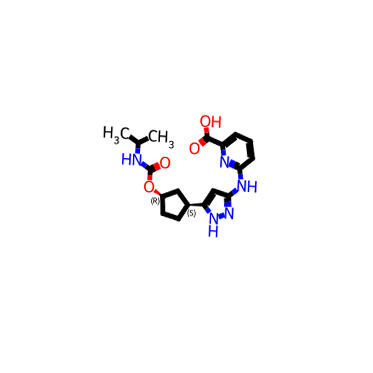 CC(C)NC(=O)O[C@@H]1CC[C@H](c2cc(Nc3cccc(C(=O)O)n3)n[nH]2)C1